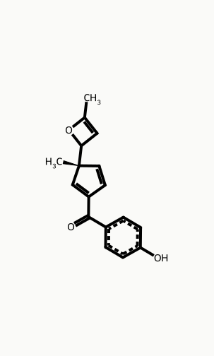 CC1=CC([C@]2(C)C=CC(C(=O)c3ccc(O)cc3)=C2)O1